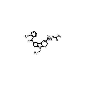 CCn1c2c(c3c1CCC(/C(C)=N/OC(C)=O)=C3)C=C(C(=O)c1ccccc1C)CC2